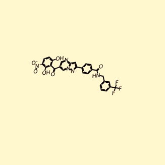 O=C(NCc1cccc(C(F)(F)F)c1)c1ccc(-c2cc3ncc(C(=O)c4c(O)ccc([N+](=O)[O-])c4O)cn3n2)cc1